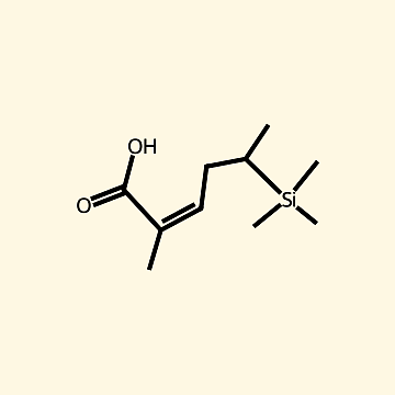 CC(=CCC(C)[Si](C)(C)C)C(=O)O